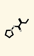 C=C(CC)C(=O)ON1CCCC1